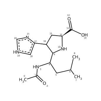 CC(=O)NC(CC(C)C)C1N[C@H](C(=O)O)CC1c1c[nH]cn1